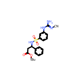 CC(C)(C)OC(=O)CC(NS(=O)(=O)c1cccc(NC(N)=NC#N)c1)c1ccccc1